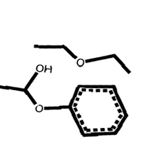 CC(O)Oc1ccccc1.CCOCC